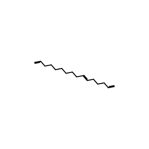 C=CCCCC=CCCCCCCCC=C